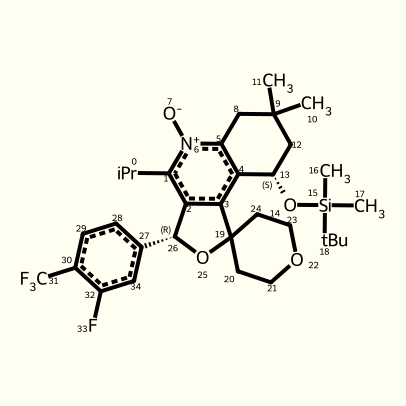 CC(C)c1c2c(c3c([n+]1[O-])CC(C)(C)C[C@@H]3O[Si](C)(C)C(C)(C)C)C1(CCOCC1)O[C@@H]2c1ccc(C(F)(F)F)c(F)c1